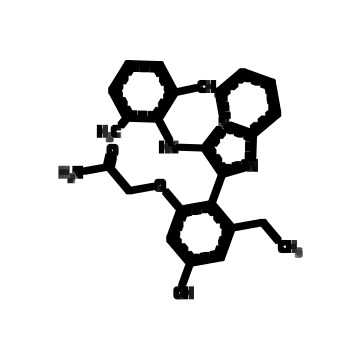 CCc1cc(O)cc(OCC(N)=O)c1-c1nc2ccccn2c1Nc1c(C)cccc1C